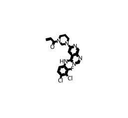 C=CC(=O)N1CCCN(c2cc3c(Nc4ccc(Cl)c(Cl)c4F)ncnc3cn2)C1